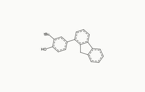 CC(C)(C)c1cc(-c2cccc3c2Cc2ccccc2-3)ccc1O